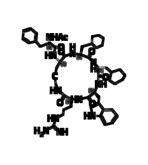 CC(=O)N[C@@H](Cc1ccccc1)C(=O)N[C@H]1CCCNC(=O)[C@H](CCCNC(=N)N)NC(=O)[C@H](Cc2c[nH]c3ccccc23)NC(=O)[C@@H](CC2CCCCC2)NC(=O)[C@H](CC2CCCCC2)NC1=O